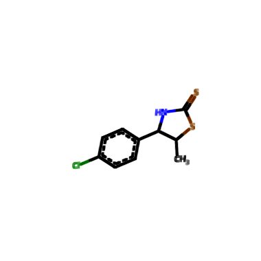 CC1SC(=S)NC1c1ccc(Cl)cc1